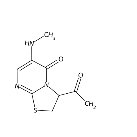 CNc1cnc2n(c1=O)C(C(C)=O)CS2